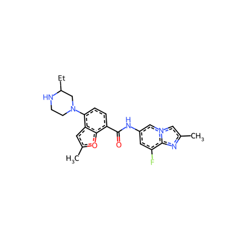 CCC1CN(c2ccc(C(=O)Nc3cc(F)c4nc(C)cn4c3)c3oc(C)cc23)CCN1